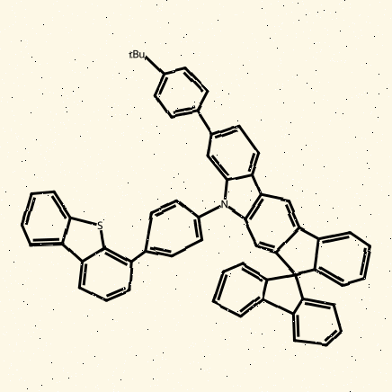 CC(C)(C)c1ccc(-c2ccc3c4cc5c(cc4n(-c4ccc(-c6cccc7c6sc6ccccc67)cc4)c3c2)C2(c3ccccc3-c3ccccc32)c2ccccc2-5)cc1